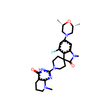 C[C@@H]1CN(c2cc(F)c3c(c2)N(C)C(=O)C32CCN(c3nc4c(c(=O)[nH]3)CCCN4C)CC2)C[C@H](C)O1